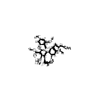 COC(=O)c1c(O)c2c(n(Cc3ccc(OC)cc3OC)c1=O)-c1cc3cc(CO)n(C)c3cc1OCC2